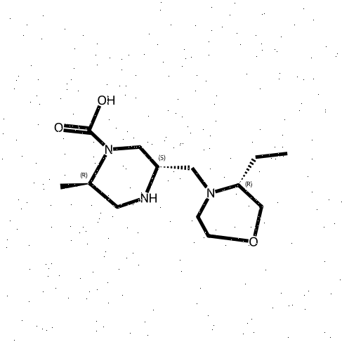 CC[C@@H]1COCCN1C[C@H]1CN(C(=O)O)[C@H](C)CN1